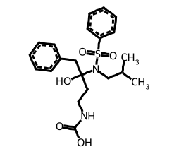 CC(C)CN(C(O)(CCNC(=O)O)Cc1ccccc1)S(=O)(=O)c1ccccc1